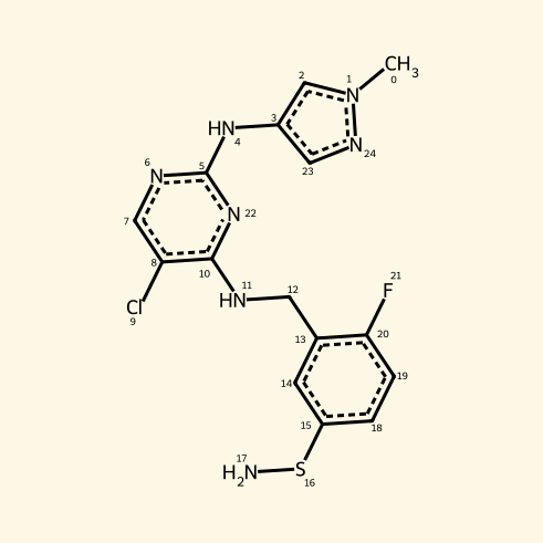 Cn1cc(Nc2ncc(Cl)c(NCc3cc(SN)ccc3F)n2)cn1